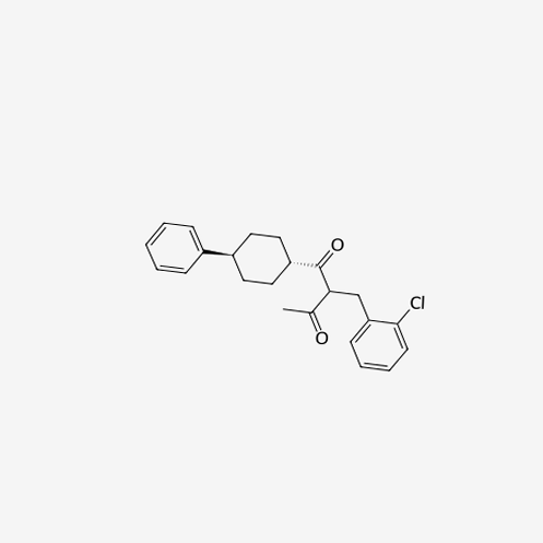 CC(=O)C(Cc1ccccc1Cl)C(=O)[C@H]1CC[C@H](c2ccccc2)CC1